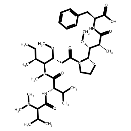 CC[C@H](C)[C@@H]([C@@H](CC(=O)N1CCC[C@H]1[C@H](OC)[C@@H](C)C(=O)N[C@@H](Cc1ccccc1)C(=O)O)OC)N(C)C(=O)[C@@H](NC(=O)C(C(C)C)N(C)C)C(C)C